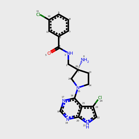 N[C@]1(CNC(=O)c2cccc(Cl)c2)CCN(c2ncnc3[nH]cc(Cl)c23)C1